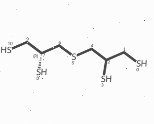 SCC(S)CSC[C@H](S)CS